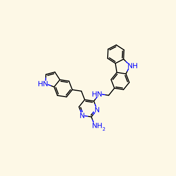 Nc1ncc(Cc2ccc3[nH]ccc3c2)c(NCc2ccc3[nH]c4ccccc4c3c2)n1